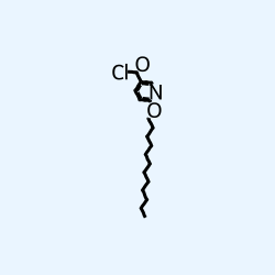 CCCCCCCCCCCCOc1ccc(C(=O)Cl)cn1